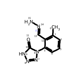 Cc1cccc(-n2nn[nH]c2=O)c1/C=N/N